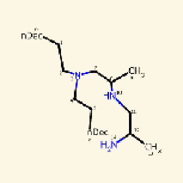 CCCCCCCCCCCCN(CCCCCCCCCCCC)CC(C)NCC(C)N